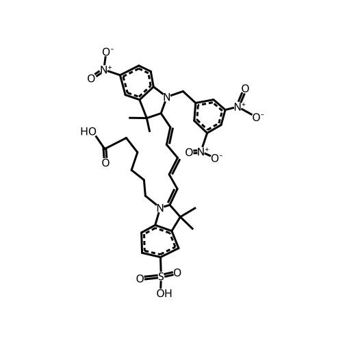 CC1(C)/C(=C/C=C/C=C/C2N(Cc3cc([N+](=O)[O-])cc([N+](=O)[O-])c3)c3ccc([N+](=O)[O-])cc3C2(C)C)N(CCCCCC(=O)O)c2ccc(S(=O)(=O)O)cc21